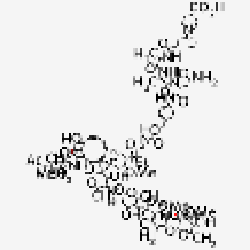 CCN(C(=O)CNC(=O)OCc1ccc(NC(=O)[C@H](CC(N)=O)NC(=O)[C@H](C)NC(=O)[C@H](C)NC(=O)CCC(=O)N2CCC(C(=O)O)CC2)cc1)C1COC(OC2C(O[C@H]3C#C/C=C\C#C[C@]4(O)CC(=O)C(NC(=O)OC)=C3/C4=C\CSSC(C)(C)CC(C)=O)OC(C)C(NOC3CC(O)C(SC(=O)c4c(C)c(I)c(OC5OC(C)C(O)C(OC)C5O)c(OC)c4OC)C(C)O3)C2O)CC1OC